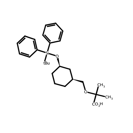 CC(C)(OC[C@H]1CCC[C@@H](O[Si](c2ccccc2)(c2ccccc2)C(C)(C)C)C1)C(=O)O